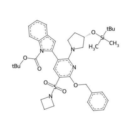 CC(C)(C)OC(=O)n1c(-c2cc(S(=O)(=O)N3CCC3)c(OCc3ccccc3)nc2N2CC[C@H](O[Si](C)(C)C(C)(C)C)C2)cc2ccccc21